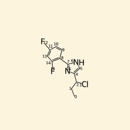 CCC(Cl)c1c[nH]c(-c2ccc(F)cc2F)n1